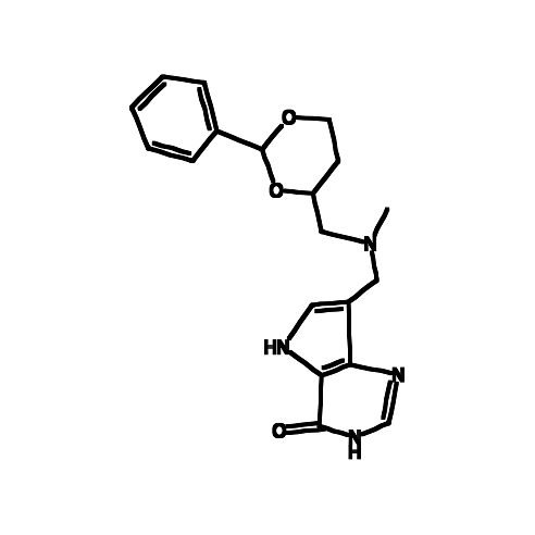 CN(Cc1c[nH]c2c(=O)[nH]cnc12)CC1CCOC(c2ccccc2)O1